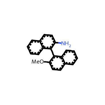 COc1ccc2ccccc2c1-c1c(N)ccc2ccccc12